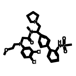 COCCN(CC(=O)N(C)C(CN1CCCC1)c1ccc(-c2ccccc2NS(C)(=O)=O)cc1)c1ccc(Cl)c(Cl)c1